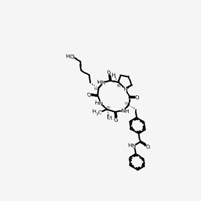 CC[C@]1(C)NC(=O)[C@H](CCCCO)NC(=O)[C@H]2CCCN2C(=O)[C@H](Cc2ccc(C(=O)Nc3ccccc3)cc2)NC1=O